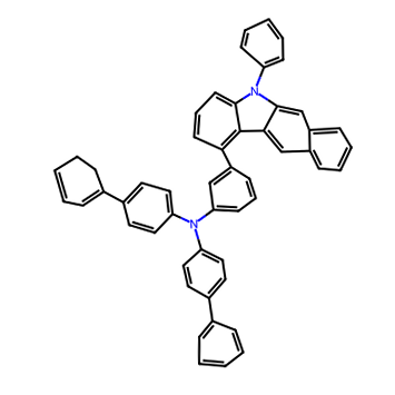 C1=CCCC(c2ccc(N(c3ccc(-c4ccccc4)cc3)c3cccc(-c4cccc5c4c4cc6ccccc6cc4n5-c4ccccc4)c3)cc2)=C1